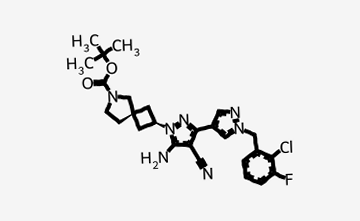 CC(C)(C)OC(=O)N1CC[C@]2(C1)C[C@H](n1nc(-c3cnn(Cc4cccc(F)c4Cl)c3)c(C#N)c1N)C2